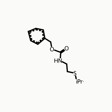 C[C](C)SCCNC(=O)OCc1ccccc1